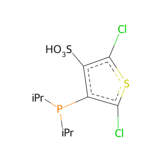 CC(C)P(c1c(Cl)sc(Cl)c1S(=O)(=O)O)C(C)C